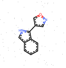 [c]1nocc1-c1[nH]cc2ccccc12